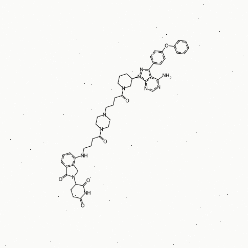 Nc1ncnc2c1c(-c1ccc(Oc3ccccc3)cc1)nn2[C@@H]1CCCN(C(=O)CCCN2CCN(C(=O)CCCNc3cccc4c3CN(C3CCC(=O)NC3=O)C4=O)CC2)C1